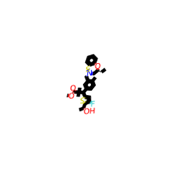 CC[C@@H]1CN(Cc2cc(C(c3cc(F)c(C(C)O)s3)C(C)(C)C(=O)OC)ccc2C)Sc2ccccc2O1